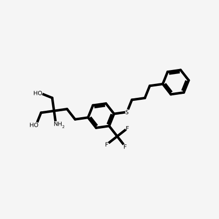 NC(CO)(CO)CCc1ccc(SCCCc2ccccc2)c(C(F)(F)F)c1